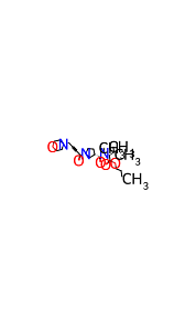 CCCCOC(=O)[C@H](C(C)C)N(C)C(=O)[C@H]1CCN(C(=O)C#CCN2CCOCC2)C1